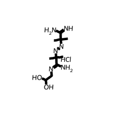 CC(C)(N=NC(C)(C)C(N)=NCC(O)O)C(=N)N.Cl